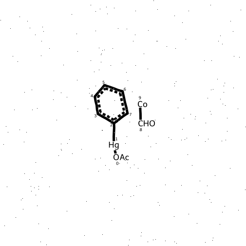 CC(=O)[O][Hg][c]1ccccc1.O=[CH][Co]